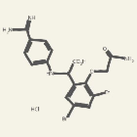 CCc1cc(Br)cc(C(Nc2ccc(C(=N)N)cc2)C(=O)O)c1OCC(N)=O.Cl